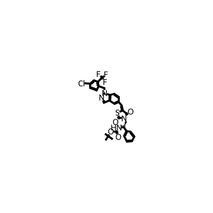 CC(C)(C)OC(=O)N[C@@H](CN1C(=O)SC(=Cc2ccc3c(cnn3Cc3ccc(Cl)cc3C(F)(F)F)c2)C1=O)c1ccccc1